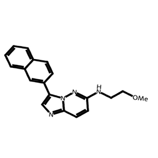 COCCNc1ccc2ncc(-c3ccc4ccccc4c3)n2n1